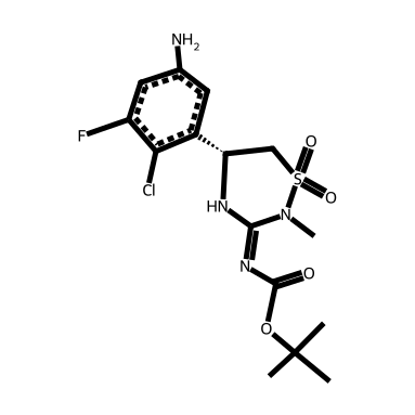 CN1/C(=N\C(=O)OC(C)(C)C)N[C@H](c2cc(N)cc(F)c2Cl)CS1(=O)=O